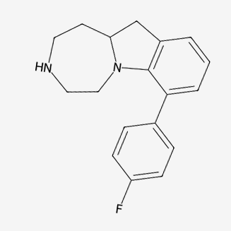 Fc1ccc(-c2cccc3c2N2CCNCCC2C3)cc1